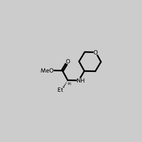 CC[C@@H](NC1CCOCC1)C(=O)OC